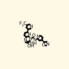 O=C(Nc1cc(-c2cnco2)ccn1)N1c2nc(-c3cncc(C(F)(F)F)c3)ccc2N2C[C@@H](O)[C@H]1C2